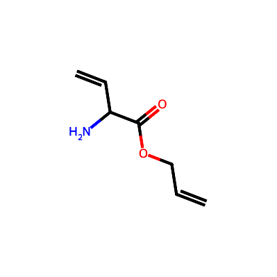 C=CCOC(=O)C(N)C=C